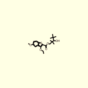 CCOc1c(C(=O)OCC(C)(C)C(O)C(C)(C)C)sc2ccc(OC)cc12